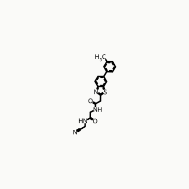 Cc1cccc(-c2ccc3nc(CC(=O)NCC(=O)NCC#N)sc3c2)c1